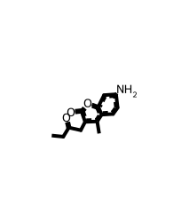 CCC(=O)Cc1c(C)c2ccc(N)cc2oc1=O